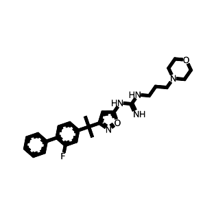 CC(C)(c1ccc(-c2ccccc2)c(F)c1)c1cc(NC(=N)NCCCN2CCOCC2)on1